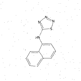 c1ccc2c(Nc3nnns3)cccc2c1